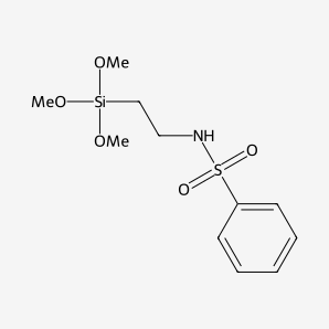 CO[Si](CCNS(=O)(=O)c1ccccc1)(OC)OC